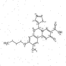 CCCCOc1cc2c(cc1C)-c1cc(=O)c(C(=O)O)cn1C(c1cncs1)O2